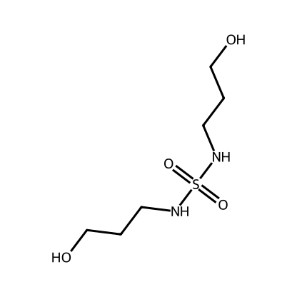 O=S(=O)(NCCCO)NCCCO